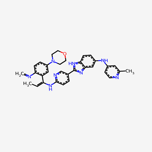 C=Nc1ccc(N2CCOCC2)cc1/C(=C\C)Nc1ccc(-c2nc3cc(Nc4ccnc(C)c4)ccc3[nH]2)cn1